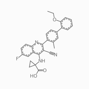 CCOc1ccccc1-c1ccc(-c2nc3ccc(F)cc3c(NC3(C(=O)O)CC3)c2C#N)c(C)c1